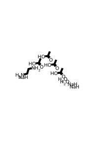 CC(=O)O.CC(=O)O.CC(=O)O.CC(=O)O.NCCN.O.O.[NaH].[NaH].[NaH]